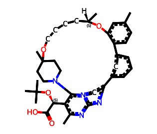 Cc1ccc2c(c1)O[C@@H](C)CCCCOC1(C)CCN(CC1)c1c([C@H](OC(C)(C)C)C(=O)O)c(C)nc3nc(cn13)-c1cccc-2c1